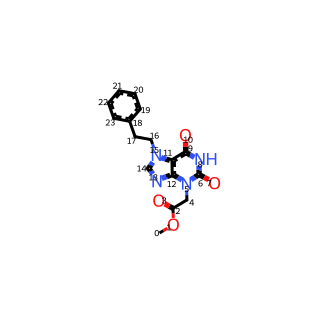 COC(=O)Cn1c(=O)[nH]c(=O)c2c1ncn2CCc1ccccc1